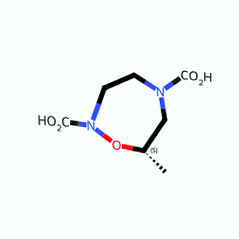 C[C@H]1CN(C(=O)O)CCN(C(=O)O)O1